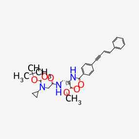 COC(=O)[C@H](CNC(=O)CN(C(=O)OC(C)(C)C)C1CC1)NC(=O)c1ccc(C#CC=Cc2ccccc2)cc1